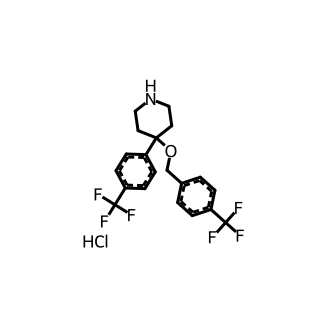 Cl.FC(F)(F)c1ccc(COC2(c3ccc(C(F)(F)F)cc3)CCNCC2)cc1